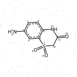 Nc1ccc2c(c1)S(=O)(=O)CC(=O)N2